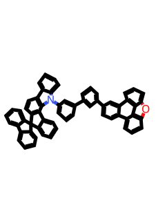 c1cc(-c2cccc(-n3c4ccccc4c4ccc5c(c43)-c3ccccc3C53c4ccccc4-c4ccccc43)c2)cc(-c2ccc3c(c2)c2cccc4oc5cccc3c5c42)c1